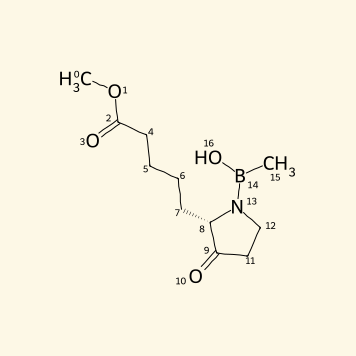 COC(=O)CCCC[C@H]1C(=O)CCN1B(C)O